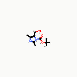 Cc1nc(C)n(C(=O)OC(C)(C)C)c1CO